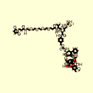 COc1c(C)cc2c(c1O)[C@@H]1[C@@H]3[C@@H]4SC[C@]5(N[C@@H](CNC(=O)OCc6ccc(NC(=O)[C@H](CCCNC(N)=O)NC(=O)[C@@H](NC(=O)CCOCCOCCOCCOCCNC(=O)CCN7C(=O)C=CC7=O)C(C)C)cc6)Cc6c5[nH]c5ccccc65)C(=O)OCC(c5c6c(c(C)c(OC(C)=O)c54)OCO6)N3C(O)(C2)CN1C